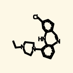 CCN1CCN(c2cccc3c2Nc2cc(Cl)ccc2C=N3)CC1